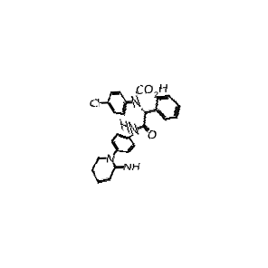 N=C1CCCCN1c1ccc(NC(=O)[C@@H](c2ccccc2)N(C(=O)O)c2ccc(Cl)cc2)cc1